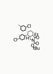 CC[C@@]12CC[C@@H](c3ccc(C)cc3Cl)[C@H](c3ccc(Cl)cc3)[C@@H]1[C@@H](C)N(C(=O)OC(C)(C)C)C2=O